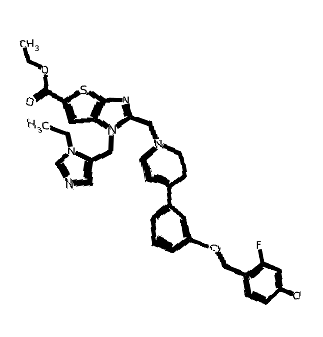 CCOC(=O)c1cc2c(nc(CN3CC=C(c4cccc(OCc5ccc(Cl)cc5F)c4)CC3)n2Cc2cncn2CC)s1